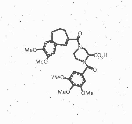 COc1cc2c(cc1OC)CCCC(C(=O)N1CCN(C(=O)c3cc(OC)c(OC)c(OC)c3)C(C(=O)O)C1)=C2